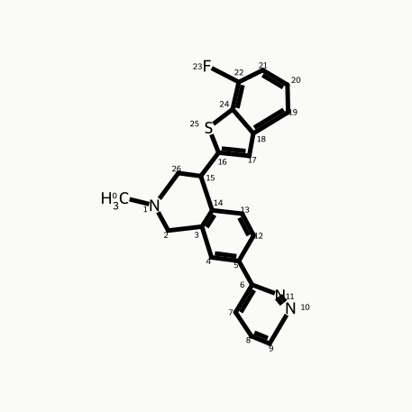 CN1Cc2cc(-c3cccnn3)ccc2C(c2cc3cccc(F)c3s2)C1